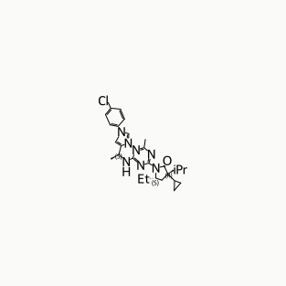 CC[C@H]1C[C@@](C(C)C)(C2CC2)C(=O)N1c1nc(C)nc(N[C@@H](C)c2cn(-c3ccc(Cl)cc3)cn2)n1